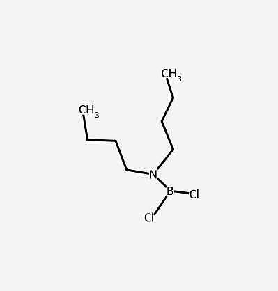 CCCCN(CCCC)B(Cl)Cl